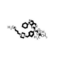 COCCCN1CCN(Cc2ccc(N(C(=O)OC(C)(C)C)c3ncc4cnn(C5CCCCC5)c4n3)cc2)CC1